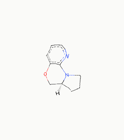 [c]1ccnc2c1OC[C@@H]1CCCN21